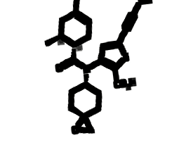 CC1=CC[C@H](C(=O)N(c2cc(C#CC(C)(C)C)sc2C(=O)O)[C@H]2CC[C@@]3(CC2)CO3)[C@@H](C)C1